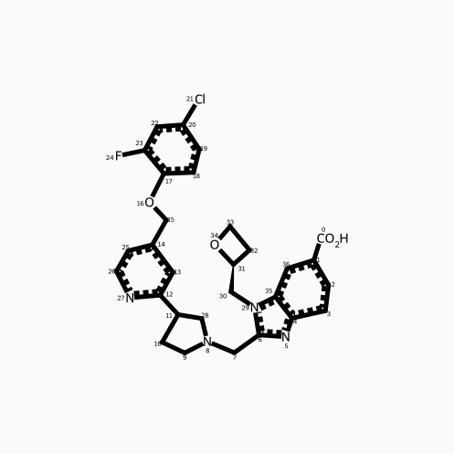 O=C(O)c1ccc2nc(CN3CCC(c4cc(COc5ccc(Cl)cc5F)ccn4)C3)n(C[C@@H]3CCO3)c2c1